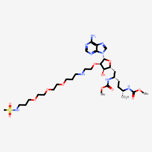 CC(C)(C)OC(=O)N[C@@H](CC[C@H](NC(=O)OC(C)(C)C)C(=O)O)C[C@H]1O[C@@H](n2cnc3c(N)ncnc32)[C@H](OCCNCCCOCCOCCOCCCNS(C)(=O)=O)[C@@H]1O